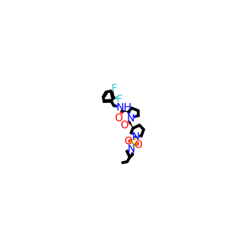 CCC1CN(S(=O)(=O)N2CCC[C@H](C(=O)N3CCC[C@@H]3C(=O)NCc3cccc(F)c3F)C2)C1